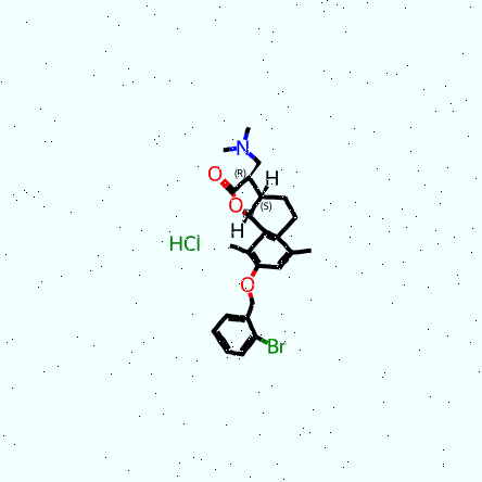 Cc1cc(OCc2ccccc2Br)c(C)c2c1CC[C@H]1[C@H](CN(C)C)C(=O)O[C@@H]21.Cl